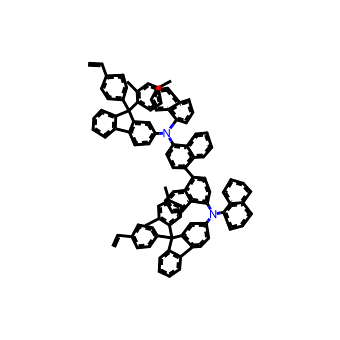 C=Cc1ccc(C2(c3ccc(C)cc3C)c3ccccc3-c3ccc(N(c4cccc5ccccc45)c4ccc(-c5ccc(N(c6ccc7c(c6)C(c6ccc(C=C)cc6)(c6ccc(C)cc6C)c6ccccc6-7)c6cccc7ccccc67)c6ccccc56)c5ccccc45)cc32)cc1